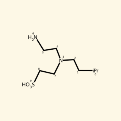 CC(C)CCN(CCN)CCS(=O)(=O)O